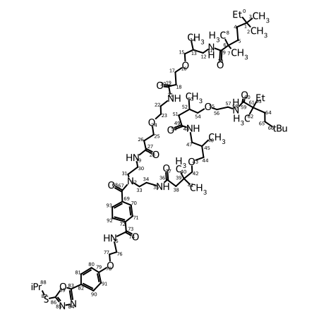 CCC(C)(C)CCC(C)(C)C(=O)NCC(C)COCCC(=O)NCCOCCC(=O)NCCN(CCNC(=O)CC(C)(C)COCC(C)CNC(=O)CC(C)COCCNC(=O)C(C)(CC)CCC(C)(C)C)C(=O)c1ccc(C(=O)NCCOc2ccc(-c3nnc(SC(C)C)o3)cc2)cc1